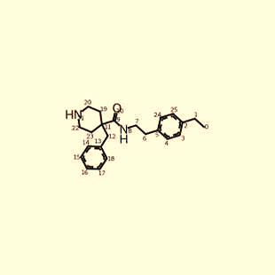 CCc1ccc(CCNC(=O)C2(Cc3ccccc3)CCNCC2)cc1